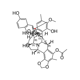 COc1c(C)cc2c(c1O)[C@H]1C3[C@@H]4SC[C@]5(NC(C)Cc6c5[nH]c5ccc(O)cc65)C(=O)COC[C@@H](c5c6c(c(C)c(OC(C)=O)c54)OCO6)N3[C@@H](O)[C@@H](C2)N1C